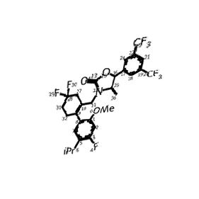 COc1cc(F)c(C(C)C)cc1C1=C(CN2C(=O)OC(c3cc(C(F)(F)F)cc(C(F)(F)F)c3)C2C)CC(F)(F)CC1